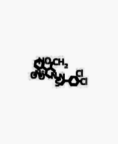 C=C(O)C1CN(c2nc(-c3ccc(Cl)c(Cl)c3)cs2)CCC1c1ccccc1[N+](=O)[O-]